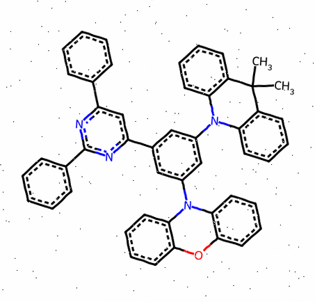 CC1(C)c2ccccc2N(c2cc(-c3cc(-c4ccccc4)nc(-c4ccccc4)n3)cc(N3c4ccccc4Oc4ccccc43)c2)c2ccccc21